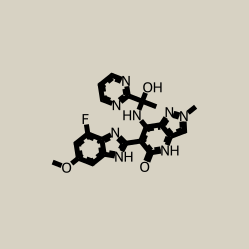 COc1cc(F)c2nc(-c3c(NC(C)(O)c4ncccn4)c4nn(C)cc4[nH]c3=O)[nH]c2c1